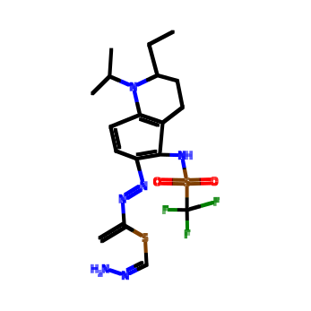 C=C(N=Nc1ccc2c(c1NS(=O)(=O)C(F)(F)F)CCC(CC)N2C(C)C)S/C=N\N